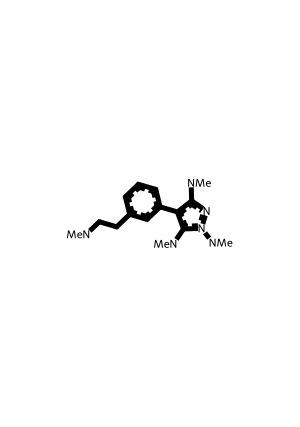 CNCCc1cccc(-c2c(NC)nn(NC)c2NC)c1